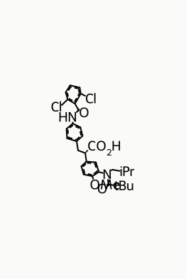 COc1ccc([C@@H](Cc2ccc(NC(=O)c3c(Cl)cccc3Cl)cc2)C(=O)O)cc1N(CC(C)C)C(=O)C(C)(C)C